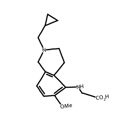 COc1ccc2c(c1NCC(=O)O)CCN(CC1CC1)C2